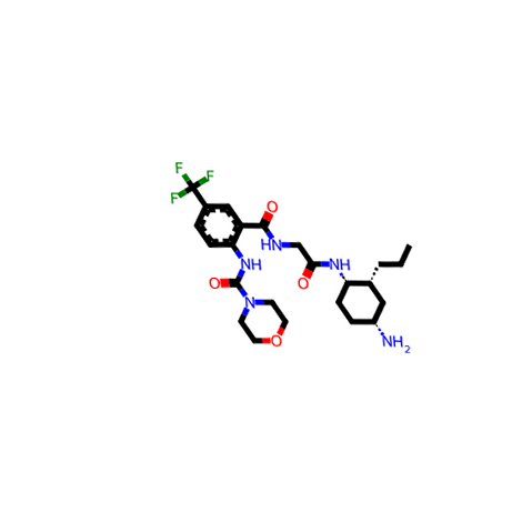 CCC[C@@H]1C[C@H](N)CC[C@@H]1NC(=O)CNC(=O)c1cc(C(F)(F)F)ccc1NC(=O)N1CCOCC1